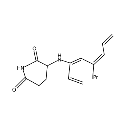 C=C/C=C(\C=C(/C=C)NC1CCC(=O)NC1=O)C(C)C